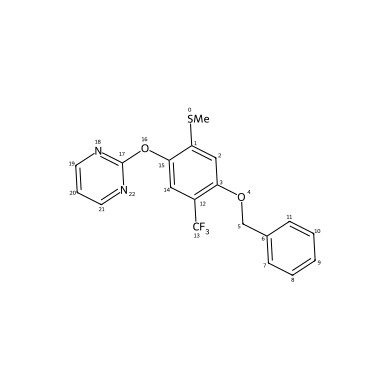 CSc1cc(OCc2ccccc2)c(C(F)(F)F)cc1Oc1ncccn1